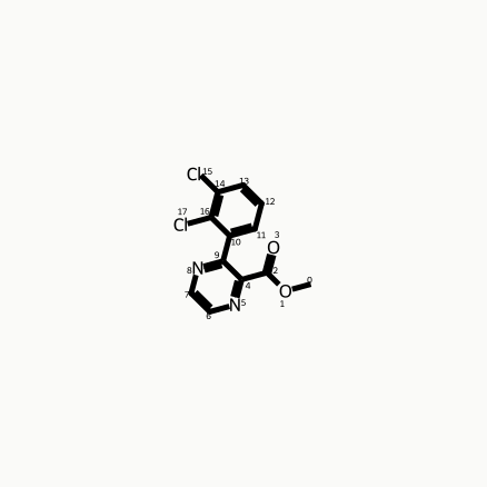 COC(=O)c1nccnc1-c1cccc(Cl)c1Cl